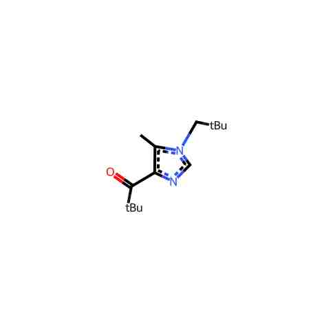 Cc1c(C(=O)C(C)(C)C)ncn1CC(C)(C)C